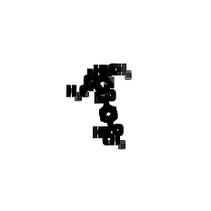 CNC(=O)c1ccc(-c2nc3c(nc(NC)c4ncn(C)c43)o2)cc1